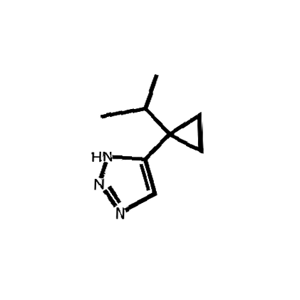 CC(C)C1(c2cnn[nH]2)CC1